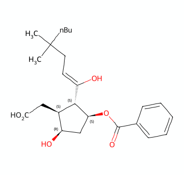 CCCCC(C)(C)CC=C(O)[C@H]1[C@H](CC(=O)O)[C@H](O)C[C@@H]1OC(=O)c1ccccc1